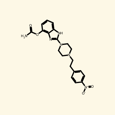 NC(=O)Oc1cccc2[nH]c(N3CCN(CCc4ccc([N+](=O)[O-])cc4)CC3)nc12